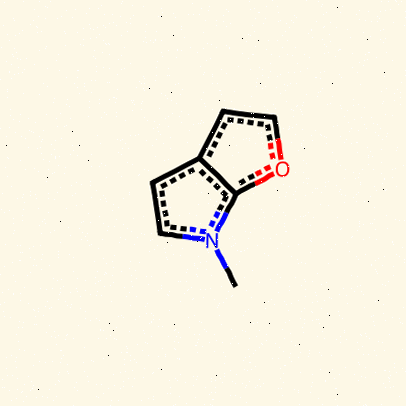 Cn1ccc2ccoc21